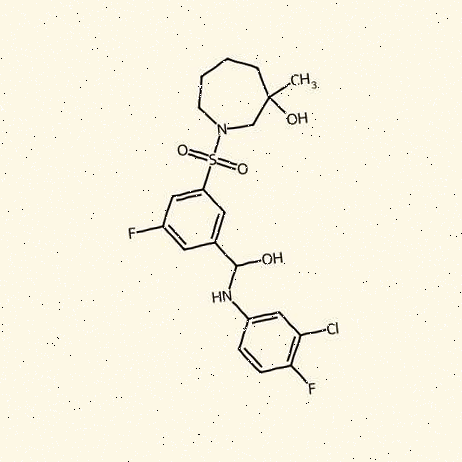 CC1(O)CCCCN(S(=O)(=O)c2cc(F)cc(C(O)Nc3ccc(F)c(Cl)c3)c2)C1